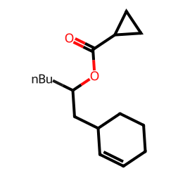 CCCCC(CC1C=CCCC1)OC(=O)C1CC1